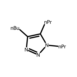 CCCCc1nnn(CCC)c1CCC